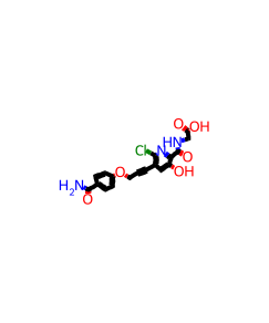 NC(=O)c1ccc(OCC#Cc2cc(O)c(C(=O)NCC(=O)O)nc2Cl)cc1